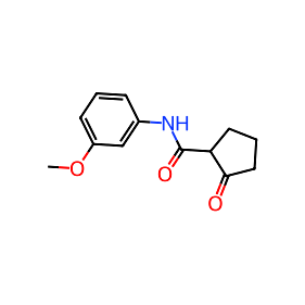 COc1cccc(NC(=O)C2CCCC2=O)c1